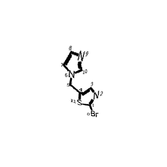 Brc1ncc(Cn2ccnc2)s1